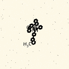 CC1CC=Cc2cc(-c3ccc(-c4nc(-c5ccccc5)nc(-c5c(-c6cccc7ccccc67)ccc6oc7ccccc7c56)n4)cc3)ccc21